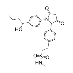 CCCC(O)c1ccc(N2C(=O)CC(=O)C2c2ccc(CCS(=O)(=O)NC)cc2)cc1